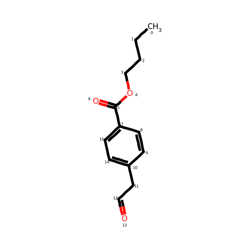 CCCCOC(=O)c1ccc(CC=O)cc1